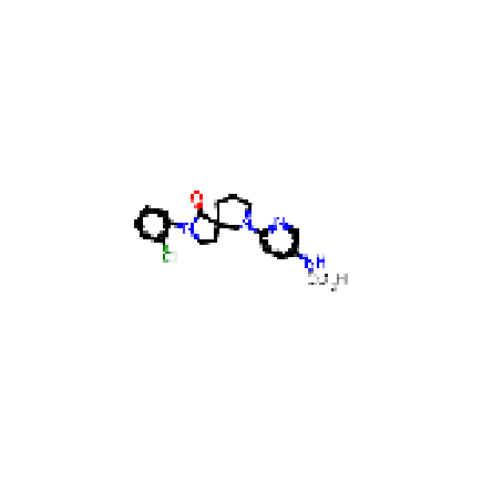 O=C(O)Nc1ccc(N2CCC[C@]3(CCN(c4ccccc4Cl)C3=O)C2)nc1